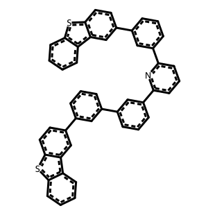 c1cc(-c2cccc(-c3cccc(-c4cccc(-c5ccc6sc7ccccc7c6c5)c4)n3)c2)cc(-c2ccc3sc4ccccc4c3c2)c1